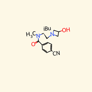 CC[C@H](C)[C@@H](CN1CC(O)C1)N(C)C(=O)c1ccc(C#N)cc1